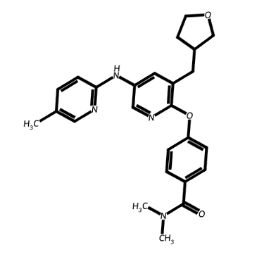 Cc1ccc(Nc2cnc(Oc3ccc(C(=O)N(C)C)cc3)c(CC3CCOC3)c2)nc1